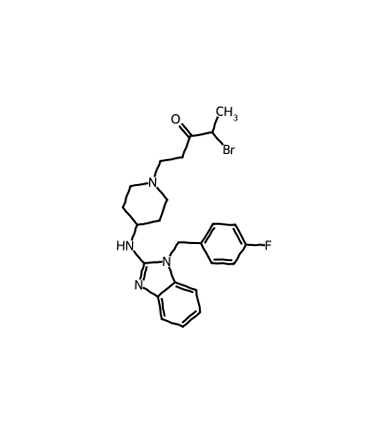 CC(Br)C(=O)CCN1CCC(Nc2nc3ccccc3n2Cc2ccc(F)cc2)CC1